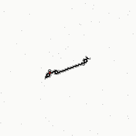 C=C(C)c1ccc(OCCCCCCCCCCCCCCCCCCc2ccc(/C=C/C(=O)c3ccc(F)cc3)cc2)cc1